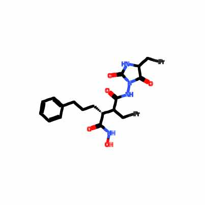 CC(C)CC1NC(=O)N(NC(=O)C(CC(C)C)[C@@H](CCCc2ccccc2)C(=O)NO)C1=O